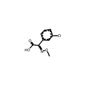 CO/N=C(/C(=O)O)c1cccc(Cl)c1